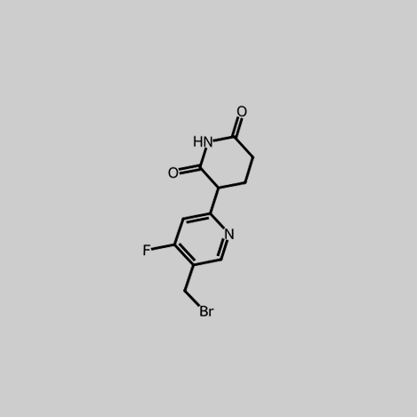 O=C1CCC(c2cc(F)c(CBr)cn2)C(=O)N1